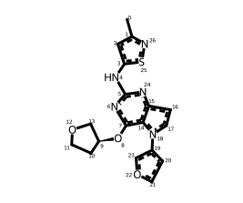 Cc1cc(Nc2nc(O[C@H]3CCOC3)c3c(ccn3-c3ccoc3)n2)sn1